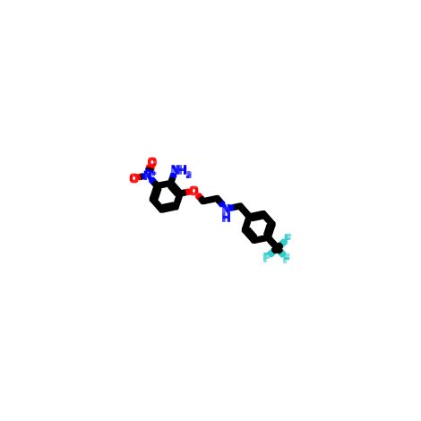 Nc1c(OCCNCc2ccc(C(F)(F)F)cc2)cccc1[N+](=O)[O-]